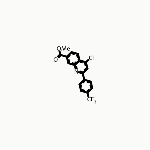 COC(=O)c1ccc2c(Cl)cc(-c3ccc(C(F)(F)F)cc3)nc2c1